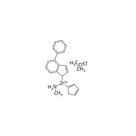 CC.C[SiH2][Zr+2]([C]1=CC=CC1)[CH]1C=Cc2c(-c3ccccc3)cccc21.[Cl-].[Cl-]